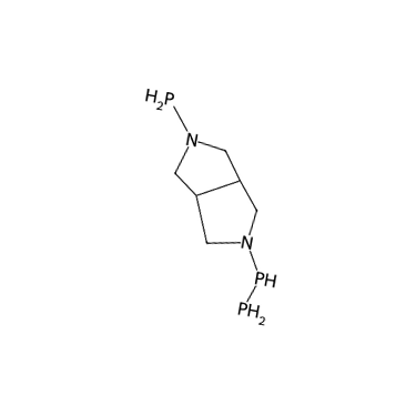 PPN1CC2CN(P)CC2C1